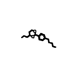 CCCCCc1ccc(C2OCCC(CCC)O2)cc1